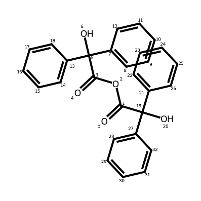 O=C(OC(=O)C(O)(c1ccccc1)c1ccccc1)C(O)(c1ccccc1)c1ccccc1